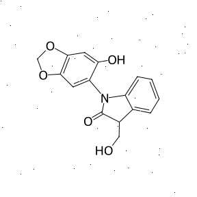 O=C1C(CO)c2ccccc2N1c1cc2c(cc1O)OCO2